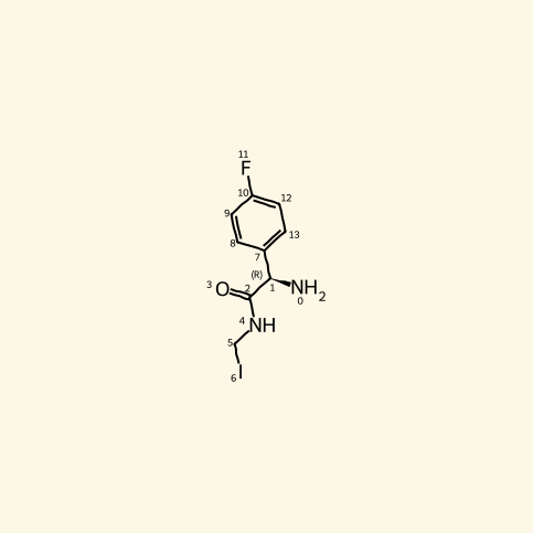 N[C@@H](C(=O)NCI)c1ccc(F)cc1